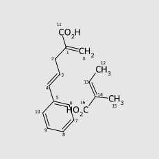 C=C(CC=Cc1ccccc1)C(=O)O.CC=C(C)C(=O)O